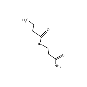 C[CH]CC(=O)NCCC(N)=O